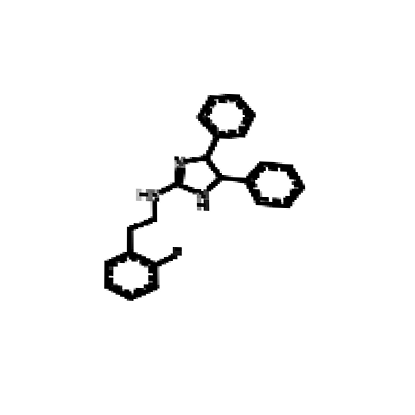 Fc1ccccc1CCNC1=NC(c2ccccc2)C(c2ccccc2)N1